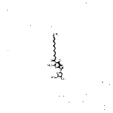 CCCCCCCCCCCC(=O)n1c(N)nc2c(ncn2[C@H]2C[C@H](O)[C@@H](CO)O2)c1=O